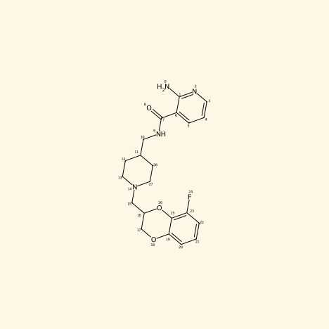 Nc1ncccc1C(=O)NCC1CCN(CC2COc3cccc(F)c3O2)CC1